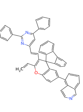 C=CC1=C(/C=C/c2cc(-c3ccccc3)nc(-c3ccccc3)n2)C2(c3cc(-c4cccc5cnccc45)ccc3O1)c1ccccc1-c1ccccc12